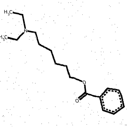 CCN(CC)CCCCCCOC(=O)c1ccccc1